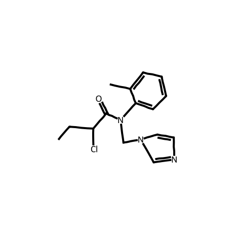 CCC(Cl)C(=O)N(Cn1ccnc1)c1ccccc1C